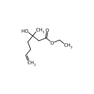 C=CCCC(C)(O)CC(=O)OCC